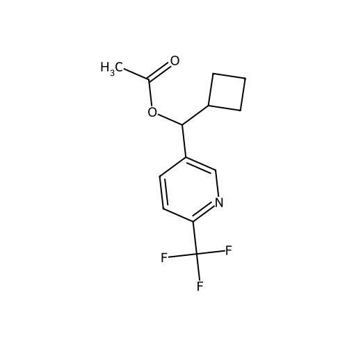 CC(=O)OC(c1ccc(C(F)(F)F)nc1)C1CCC1